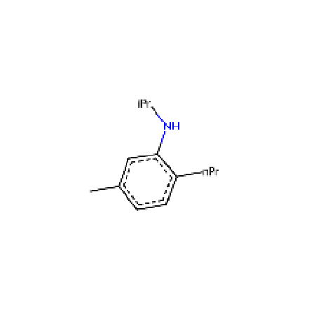 CCCc1ccc(C)cc1NC(C)C